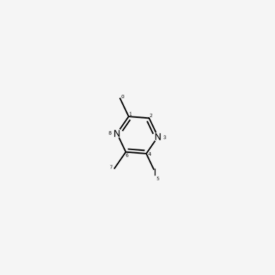 Cc1cnc(I)c(C)n1